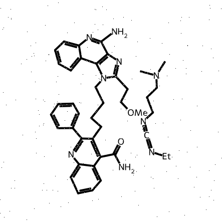 CCN=C=NCCCN(C)C.COCCc1nc2c(N)nc3ccccc3c2n1CCCCc1c(-c2ccccc2)nc2ccccc2c1C(N)=O